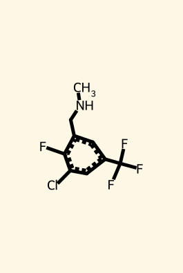 CNCc1cc(C(F)(F)F)cc(Cl)c1F